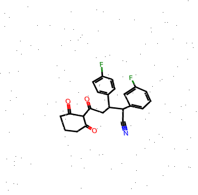 N#CC(c1cccc(F)c1)C(CC(=O)C1C(=O)CCCC1=O)c1ccc(F)cc1